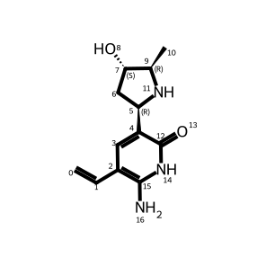 C=Cc1cc([C@H]2C[C@H](O)[C@@H](C)N2)c(=O)[nH]c1N